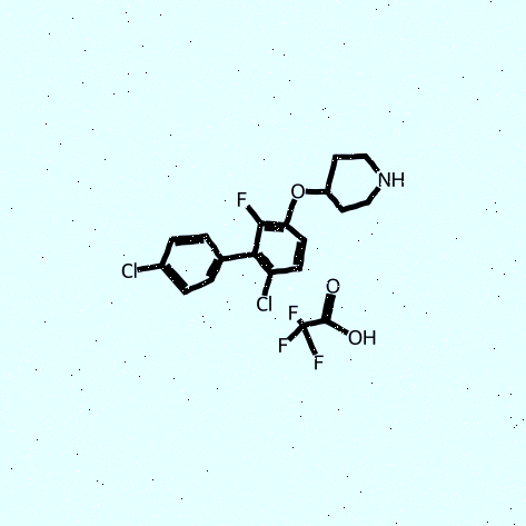 Fc1c(OC2CCNCC2)ccc(Cl)c1-c1ccc(Cl)cc1.O=C(O)C(F)(F)F